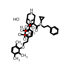 Cc1ccc(C)c(OCCc2ccc(C3=C(C(=O)N(CCc4ccccc4)C4CC4)C4CNCC(C3)N4C(=O)OC(C)(C)C(Cl)(Cl)Cl)cc2)c1C.Cl